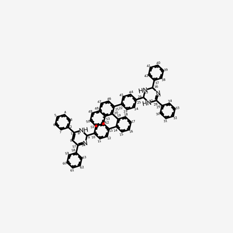 C1=C(c2ccccc2)NC(c2ccc(-c3ccccc3-c3c(-c4ccc(C5NC(c6ccccc6)=NC(c6ccccc6)N5)cc4)ccc4ccccc34)cc2)N=C1c1ccccc1